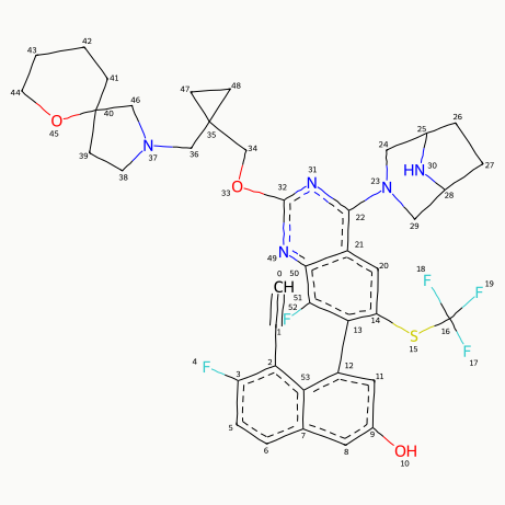 C#Cc1c(F)ccc2cc(O)cc(-c3c(SC(F)(F)F)cc4c(N5CC6CCC(C5)N6)nc(OCC5(CN6CCC7(CCCCO7)C6)CC5)nc4c3F)c12